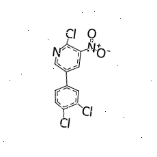 O=[N+]([O-])c1cc(-c2ccc(Cl)c(Cl)c2)cnc1Cl